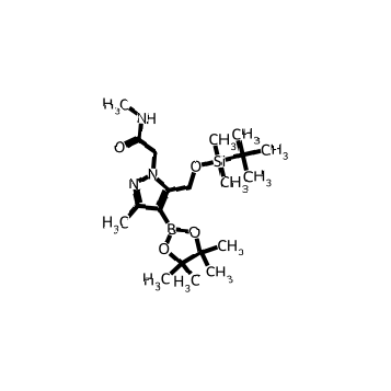 CNC(=O)Cn1nc(C)c(B2OC(C)(C)C(C)(C)O2)c1CO[Si](C)(C)C(C)(C)C